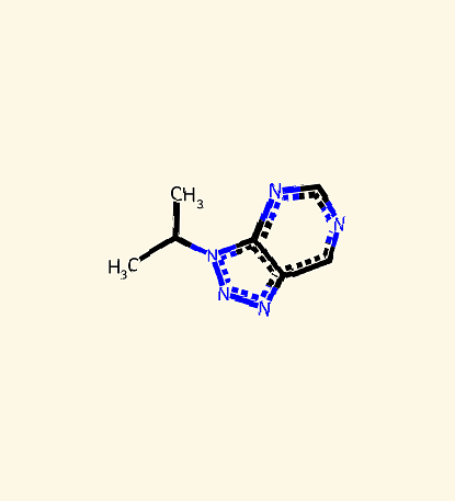 CC(C)n1nnc2cncnc21